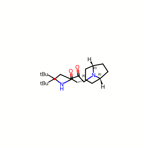 CC(C)(C)CCCC(=O)CN1[C@@H]2CC[C@H]1C[C@@H](CC(=O)NCC(C)(C)C)C2